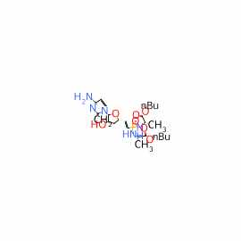 C=C1N=C(N)C=CN1[C@@H]1O[C@H](/C=C/P(=O)(N[C@@H](C)C(=O)OCCCC)N[C@@H](C)C(=O)OCCCC)C[C@H]1O